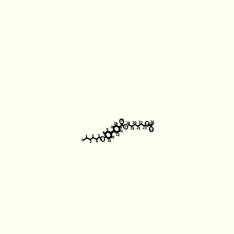 CCCCCCOc1ccc(-c2ccc(C(=O)OCCCCCCOC(C)=O)cc2)cc1